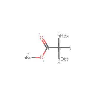 CCCCCCCCC(C)(CCCCCC)C(=O)OCCCC